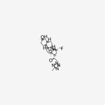 Cc1nnn(CC(=O)[C@H]2C[C@@H](CF)[C@H]3[C@@H]4CC[C@@H]5C[C@](C)(O)CC[C@@H]5[C@H]4CC[C@@]32C)n1